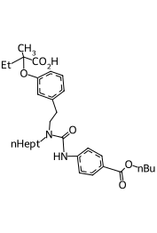 CCCCCCCN(CCc1cccc(OC(C)(CC)C(=O)O)c1)C(=O)Nc1ccc(C(=O)OCCCC)cc1